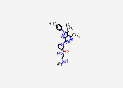 Cc1ccc(-n2nc3c(N4CCC[C@H](C(=O)NCCNC(C)C)C4)nnc(C)c3c2C)cc1